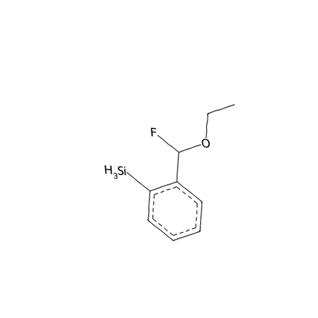 CCOC(F)c1ccccc1[SiH3]